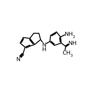 CC(=N)c1cc(NC2CCc3ccc(C#N)cc32)ccc1N